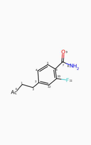 CC(=O)CCc1ccc(C(N)=O)c(F)c1